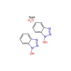 O.On1nnc2ccccc21.On1nnc2ccccc21.[NaH]